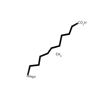 C.CCCCCCCCCCCCCCCCC(=O)O